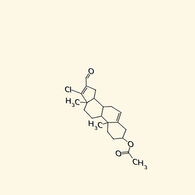 CC(=O)OC1CCC2(C)C(=CCC3C2CCC2(C)C(Cl)=C(C=O)CC32)C1